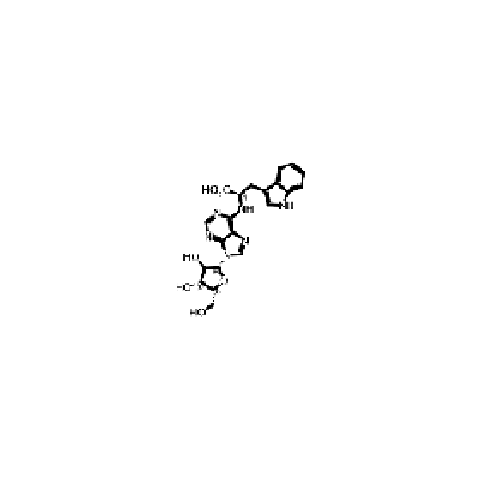 O=C(O)[C@@H](Cc1c[nH]c2ccccc12)Nc1ncnc2c1ncn2[C@@H]1O[C@H](CO)[C@H](O)C1O